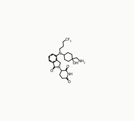 NCC1(O)CCC(N(CCCC(F)(F)F)c2cccc3c2CN(C2CCC(=O)NC2=O)C3=O)CC1